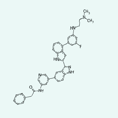 CN(C)CCNc1cc(F)cc(-c2cccc3[nH]c(-c4n[nH]c5ccc(-c6cncc(NC(=O)Cc7ccccc7)c6)cc45)cc23)c1